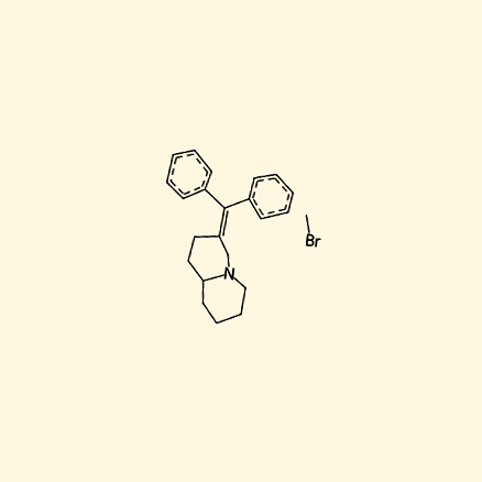 CBr.c1ccc(C(=C2CCC3CCCCN3C2)c2ccccc2)cc1